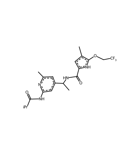 Cc1cc(C(C)NC(=O)c2cc(C)c(OCC(F)(F)F)[nH]2)cc(NC(=O)C(C)C)n1